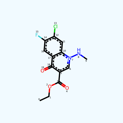 CCOC(=O)c1cn(NC)c2cc(Cl)c(F)cc2c1=O